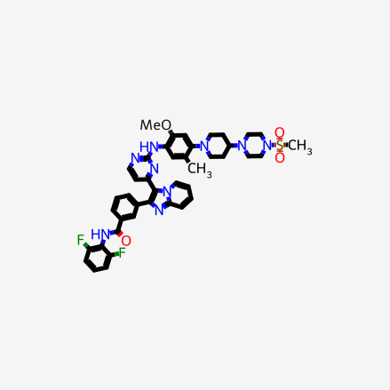 COc1cc(N2CCC(N3CCN(S(C)(=O)=O)CC3)CC2)c(C)cc1Nc1nccc(-c2c(-c3cccc(C(=O)Nc4c(F)cccc4F)c3)nc3ccccn23)n1